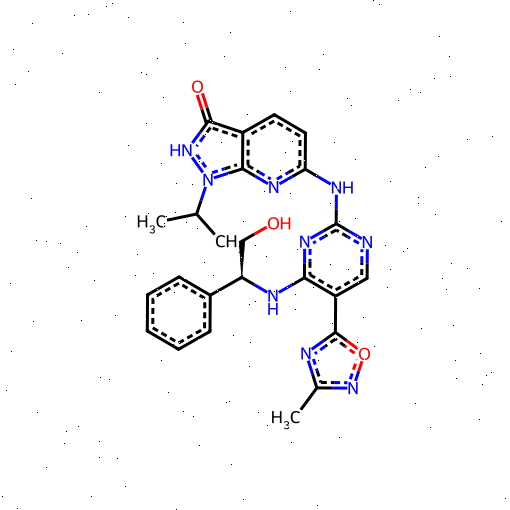 Cc1noc(-c2cnc(Nc3ccc4c(=O)[nH]n(C(C)C)c4n3)nc2N[C@H](CO)c2ccccc2)n1